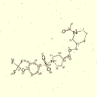 CC(=O)N1CCCC(CON=C2CCN(S(=O)(=O)c3ccc(OC(F)(F)F)cc3)CC2)C1